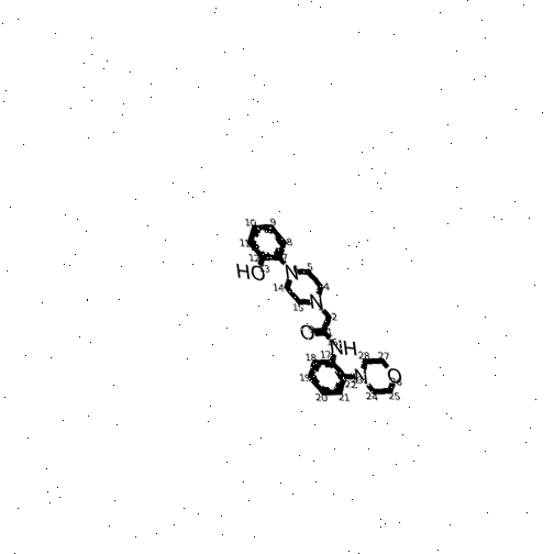 O=C(CN1CCN(c2ccccc2O)CC1)Nc1ccccc1N1CCOCC1